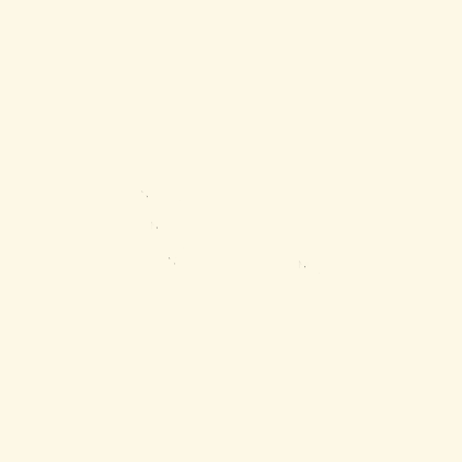 NCc1ccc(-c2nccn3nccc23)cc1Cl